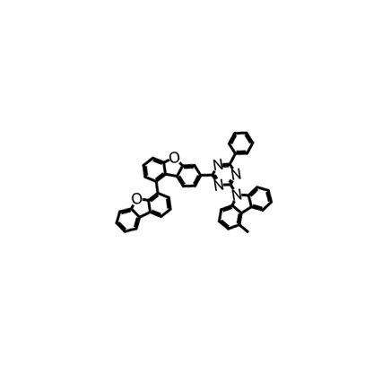 Cc1cccc2c1c1ccccc1n2-c1nc(-c2ccccc2)nc(-c2ccc3c(c2)oc2cccc(-c4cccc5c4oc4ccccc45)c23)n1